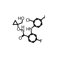 O=C(NOC1(CO)CC1)c1ccc(F)cc1Nc1ccc(I)cc1Cl